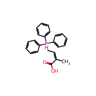 CC(=CC[PH](c1ccccc1)(c1ccccc1)c1ccccc1)C(=O)O